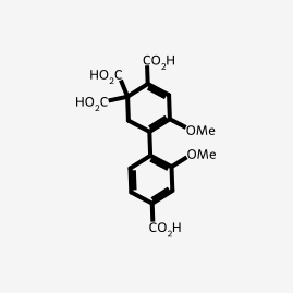 COC1=C(c2ccc(C(=O)O)cc2OC)CC(C(=O)O)(C(=O)O)C(C(=O)O)=C1